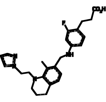 Cc1c(CNc2ccc(CCC(=O)O)c(F)c2)ccc2c1N(CCn1cccn1)CCC2